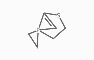 C1=C2SCCP123CC3